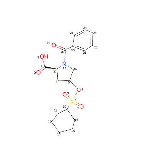 O=C(O)[C@@H]1CC(OS(=O)(=O)C2CCCCC2)CN1C(=O)c1ccccc1